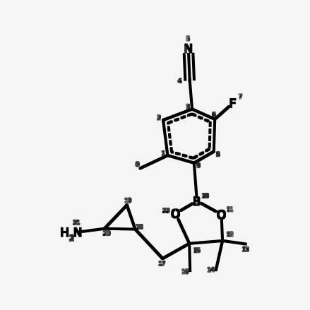 Cc1cc(C#N)c(F)cc1B1OC(C)(C)C(C)(CC2CC2N)O1